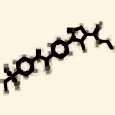 CCOC(=O)C1CNN(c2ccc(C(=O)Nc3ccc(S(=O)(=O)CC)cc3)cc2)C1C